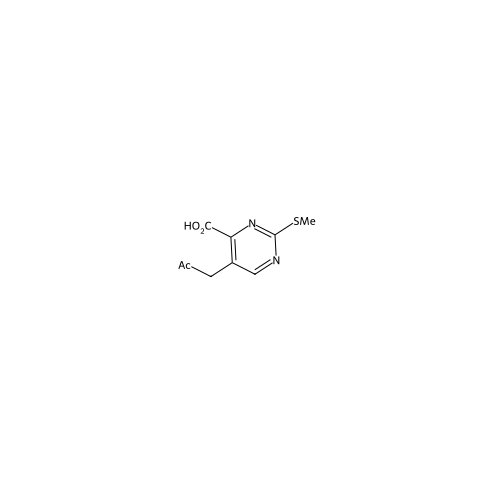 CSc1ncc(CC(C)=O)c(C(=O)O)n1